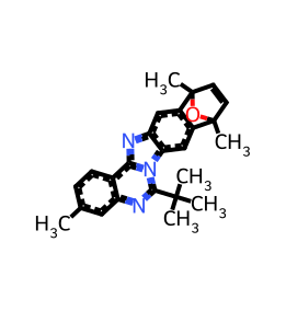 Cc1ccc2c(c1)nc(C(C)(C)C)n1c3cc4c(cc3nc21)C1(C)C=CC4(C)O1